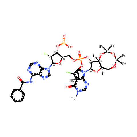 CC(C)[Si]1(C(C)C)OC[C@H]2O[C@@H](n3cc(F)c4c(=O)n(C)cnc43)[C@H](OP(=O)(OCCC#N)OC[C@H]3O[C@@H](n4cnc5c(NC(=O)c6ccccc6)ncnc54)[C@H](F)[C@@H]3O[PH](=O)O)[C@@H]2O[Si](C(C)C)(C(C)C)O1